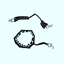 C#CCC#C.Cc1ccccc1